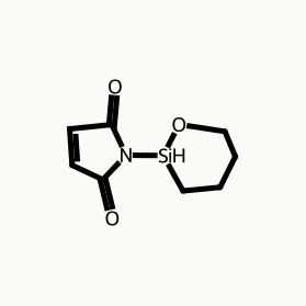 O=C1C=CC(=O)N1[SiH]1CCCCO1